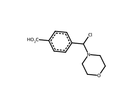 O=C(O)c1ccc(C(Cl)N2CCOCC2)cc1